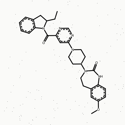 CCC1Cc2ccccc2N1C(=O)c1cc(N2CCC(N3CCc4cc(OC)ccc4NC3=O)CC2)ncn1